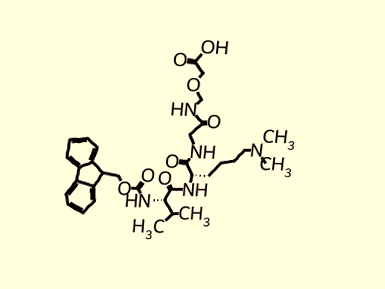 CC(C)[C@H](NC(=O)OCC1c2ccccc2-c2ccccc21)C(=O)N[C@@H](CCCCN(C)C)C(=O)NCC(=O)NCOCC(=O)O